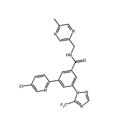 Cc1cnc(CNC(=O)c2cc(-c3ccc(Cl)cn3)cc(-n3ncnc3C(F)(F)F)c2)cn1